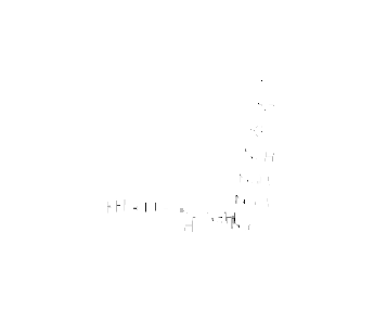 [KH].[KH].[KH].[KH].[KH].[KH].[NaH].[NaH].[NaH].[NaH].[NaH].[NaH]